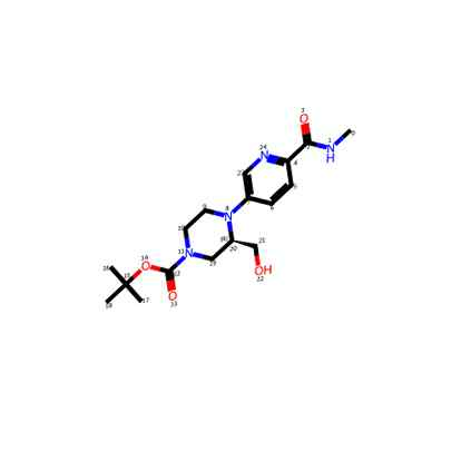 CNC(=O)c1ccc(N2CCN(C(=O)OC(C)(C)C)C[C@@H]2CO)cn1